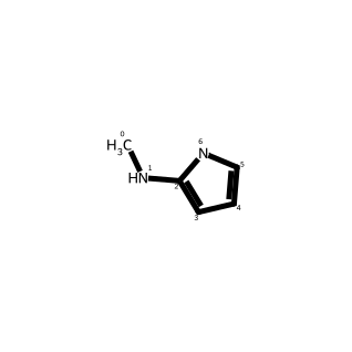 CNC1=CC=C[N]1